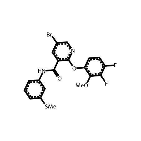 COc1c(Oc2ncc(Br)cc2C(=O)Nc2cccc(SC)c2)ccc(F)c1F